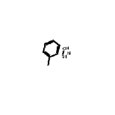 OS.[CH2]c1ccccc1.[Ni]